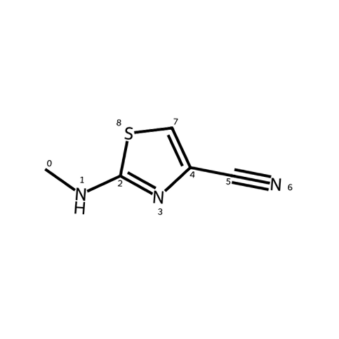 CNc1nc(C#N)cs1